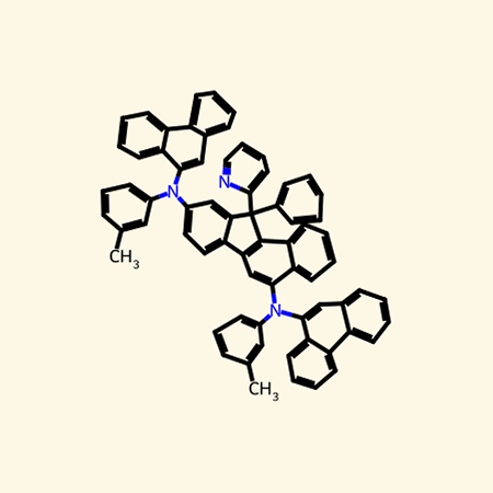 Cc1cccc(N(c2ccc3c(c2)C(c2ccccc2)(c2ccccn2)c2c-3cc(N(c3cccc(C)c3)c3cc4ccccc4c4ccccc34)c3ccccc23)c2cc3ccccc3c3ccccc23)c1